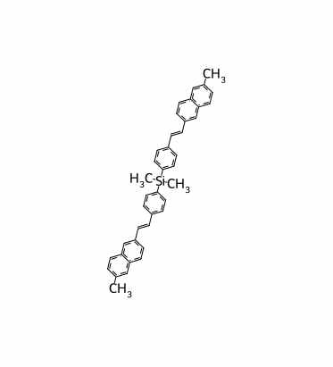 Cc1ccc2cc(/C=C/c3ccc([Si](C)(C)c4ccc(/C=C/c5ccc6cc(C)ccc6c5)cc4)cc3)ccc2c1